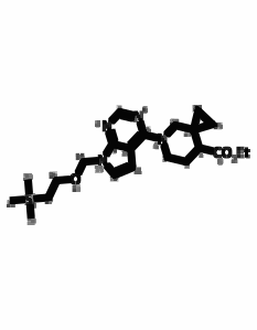 CCOC(=O)C1CCN(c2ncnc3c2ccn3COCC[Si](C)(C)C)CC12CC2